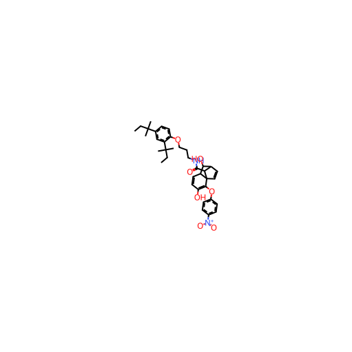 CCC(C)(C)c1ccc(OCCCNC(=O)C2C3C=CC24C(Oc2ccc([N+](=O)[O-])cc2)=C(O)C=CC4C3O)c(C(C)(C)CC)c1